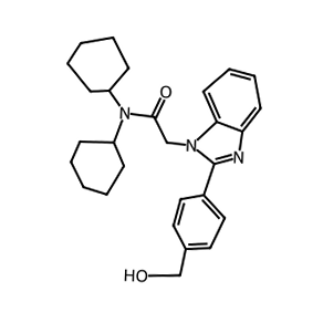 O=C(Cn1c(-c2ccc(CO)cc2)nc2ccccc21)N(C1CCCCC1)C1CCCCC1